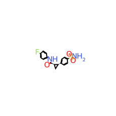 NS(=O)(=O)c1ccc([C@@H]2C[C@H]2C(=O)Nc2ccc(F)cc2)cc1